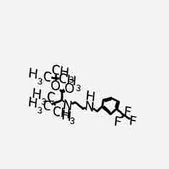 CC(C)(C)OC(=O)[C@@H](NCCNCc1cccc(C(F)(F)F)c1)C(C)(C)C